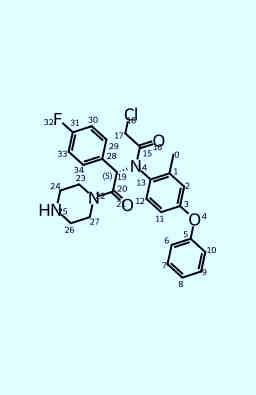 Cc1cc(Oc2ccccc2)ccc1N(C(=O)CCl)[C@H](C(=O)N1CCNCC1)c1ccc(F)cc1